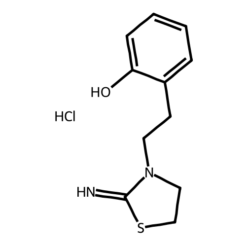 Cl.N=C1SCCN1CCc1ccccc1O